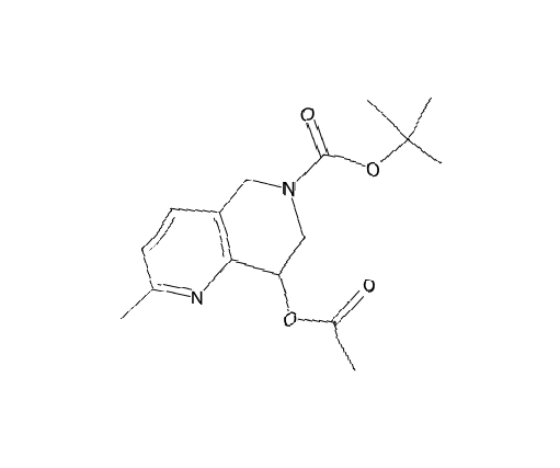 CC(=O)OC1CN(C(=O)OC(C)(C)C)Cc2ccc(C)nc21